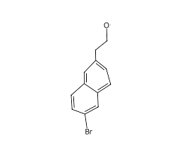 [O]CCc1ccc2cc(Br)ccc2c1